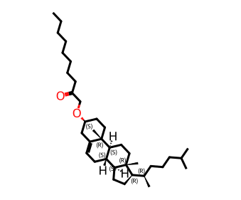 CCCCCCCCC(=O)CO[C@H]1CC[C@@]2(C)C(=CC[C@H]3[C@@H]4CC[C@H]([C@H](C)CCCC(C)C)[C@@]4(C)CC[C@@H]32)C1